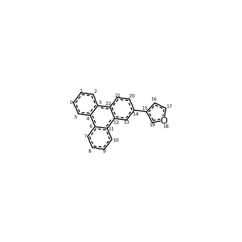 c1ccc2c(c1)c1ccccc1c1cc(-c3ccoc3)ccc21